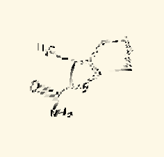 Cc1c(C(N)=O)sc2ccccc12